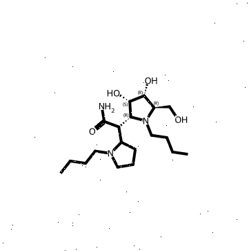 CCCCN1CCCC1C(C(N)=O)[C@@H]1[C@H](O)[C@H](O)[C@@H](CO)N1CCCC